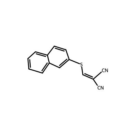 N#CC(C#N)=CSc1ccc2ccccc2c1